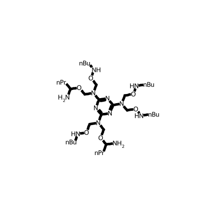 CCCCNOCN(CONCCCC)c1nc(N(CONCCCC)COC(N)CCC)nc(N(CONCCCC)COC(N)CCC)n1